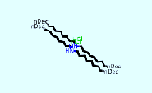 CCCCCCCCCCCCCCCCCCNCCCCCCCCCCCCCCCCCC.CCCCCCCCCCCCCCCCCCNCCCCCCCCCCCCCCCCCC.Cl.Cl